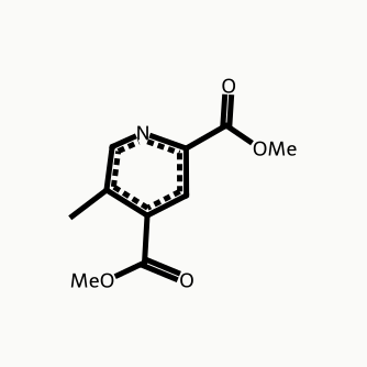 COC(=O)c1cc(C(=O)OC)c(C)cn1